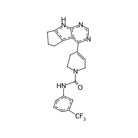 O=C(Nc1cccc(C(F)(F)F)c1)N1CC=C(c2ncnc3[nH]c4c(c23)CCC4)CC1